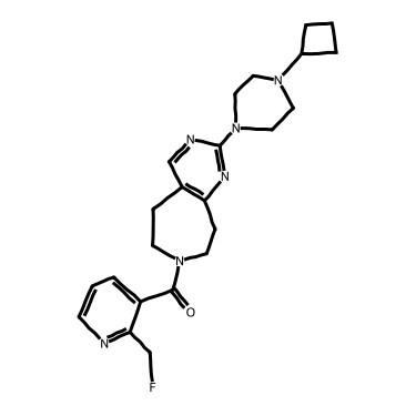 O=C(c1cccnc1CF)N1CCc2cnc(N3CCN(C4CCC4)CC3)nc2CC1